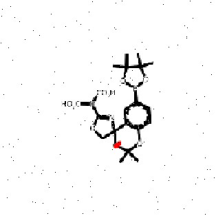 CC1(C)OB(c2ccc3c(c2)C2(COC(N(C(=O)O)C(=O)O)=N2)C2(COC2)C(C)(C)O3)OC1(C)C